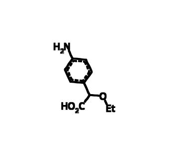 CCOC(C(=O)O)c1ccc(N)cc1